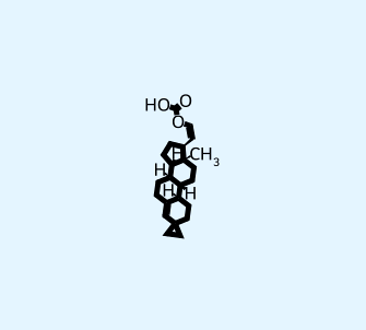 C[C@]12CC[C@H]3[C@@H](CCC4=CC5(CC[C@@H]43)CC5)[C@@H]1CC[C@H]2/C=C\OC(=O)O